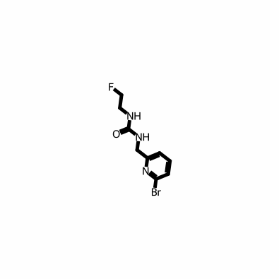 O=C(NCCF)NCc1cccc(Br)n1